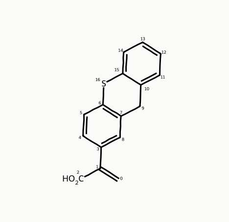 C=C(C(=O)O)c1ccc2c(c1)Cc1ccccc1S2